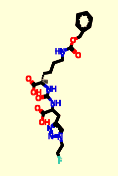 O=C(NC(Cc1cn(CCF)nn1)C(=O)O)N[C@@H](CCCCNC(=O)OCc1ccccc1)C(=O)O